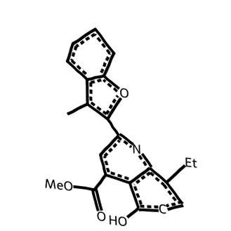 CCc1ccc(O)c2c(C(=O)OC)cc(-c3oc4ccccc4c3C)nc12